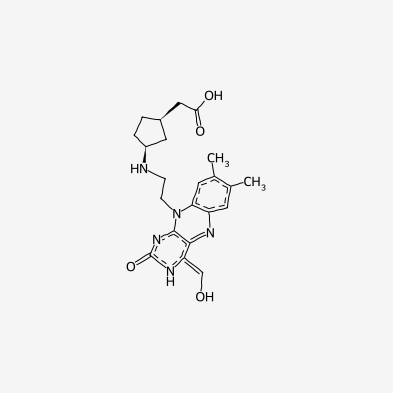 Cc1cc2c(cc1C)N(CCN[C@H]1CC[C@@H](CC(=O)O)C1)c1nc(=O)[nH]/c(=C\O)c1=N2